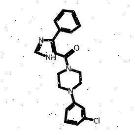 O=C(c1[nH]cnc1-c1ccccc1)N1CCN(c2cccc(Cl)c2)CC1